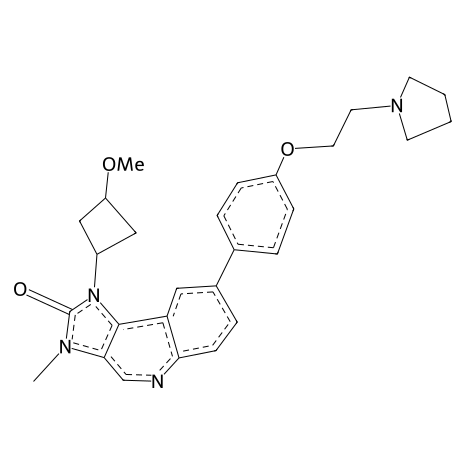 COC1CC(n2c(=O)n(C)c3cnc4ccc(-c5ccc(OCCN6CCCC6)cc5)cc4c32)C1